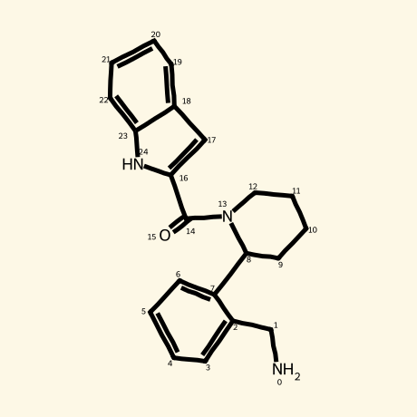 NCc1ccccc1C1CCCCN1C(=O)c1cc2ccccc2[nH]1